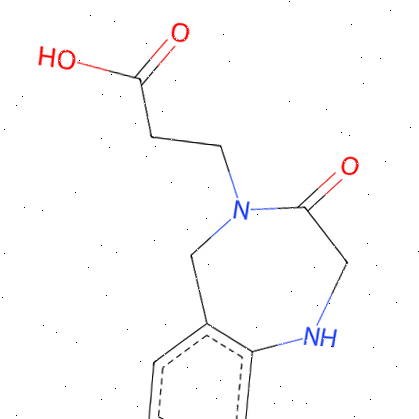 O=C(O)CCN1Cc2ccccc2NCC1=O